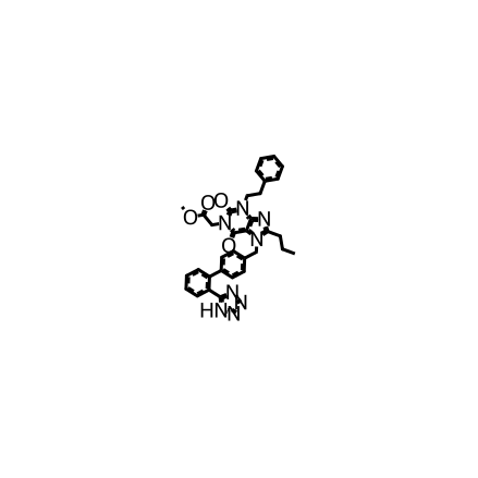 CCCc1nc2c(c(=O)n(CC(=O)OC)c(=O)n2CCc2ccccc2)n1Cc1ccc(-c2ccccc2-c2nnn[nH]2)cc1